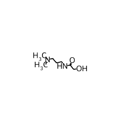 CN(C)CCCNC(=O)CO